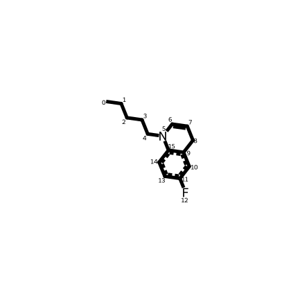 CCCCCN1C=CCc2cc(F)ccc21